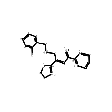 N=C(/C=C(\CNCc1ccccc1F)C1=NCCO1)c1ncccn1